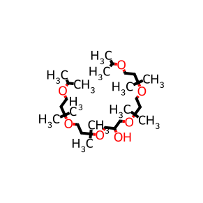 CC(C)OCCC(C)(C)OCCC(C)(C)OCC(O)COC(C)(C)CCOC(C)(C)CCOC(C)C